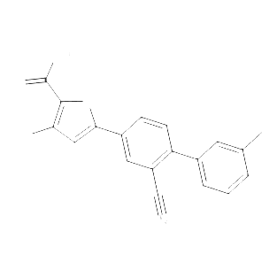 Cc1cccc(-c2ccc(-c3cc(F)c(C(=O)O)s3)cc2C#N)c1